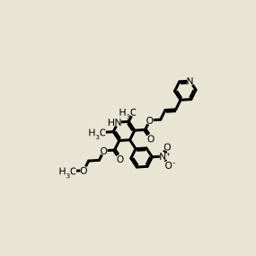 COCCOC(=O)C1=C(C)NC(C)=C(C(=O)OC/C=C/c2ccncc2)C1c1cccc([N+](=O)[O-])c1